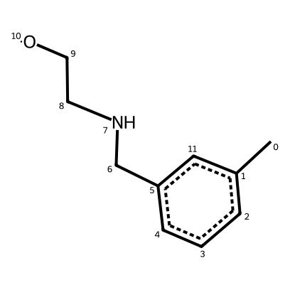 Cc1cccc(CNCC[O])c1